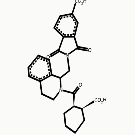 O=C(O)c1ccc2c(c1)C(=O)N(CC1c3ccccc3CCN1C(=O)[C@@H]1CCCC[C@@H]1C(=O)O)C2=O